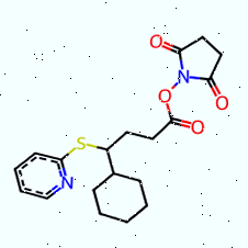 O=C(CCC(Sc1ccccn1)C1CCCCC1)ON1C(=O)CCC1=O